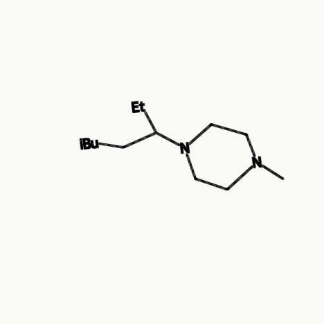 [CH2]C(CC)CC(CC)N1CCN(C)CC1